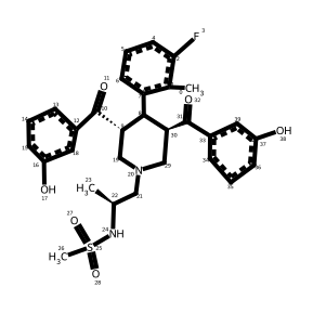 Cc1c(F)cccc1C1[C@@H](C(=O)c2cccc(O)c2)CN(C[C@H](C)NS(C)(=O)=O)C[C@@H]1C(=O)c1cccc(O)c1